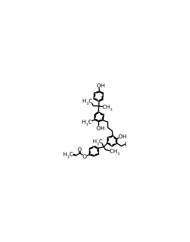 C=CC(=O)Oc1ccc(C(C)(CC)c2cc(CI)c(O)c(CCCc3cc(C(C)(CC)c4ccc(O)cc4)cc(C)c3O)c2)cc1